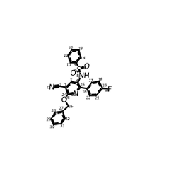 N#Cc1cc(NS(=O)(=O)c2ccccc2)c(-c2ccc(F)cc2)nc1OCc1ccccc1